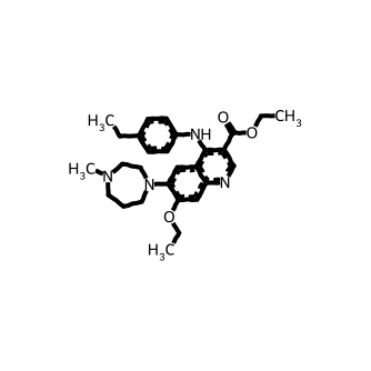 CCOC(=O)c1cnc2cc(OCC)c(N3CCCN(C)CC3)cc2c1Nc1ccc(CC)cc1